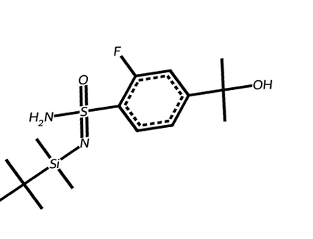 CC(C)(O)c1ccc(S(N)(=O)=N[Si](C)(C)C(C)(C)C)c(F)c1